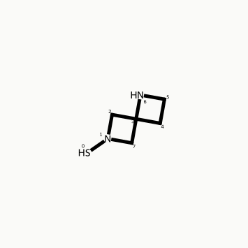 SN1CC2(CCN2)C1